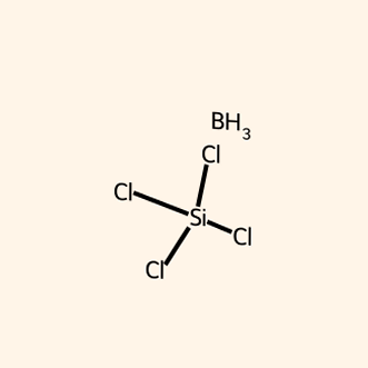 B.Cl[Si](Cl)(Cl)Cl